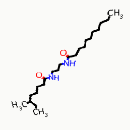 CCCCCCCCCCC(=O)NCCCNC(=O)CCCCC(C)CC